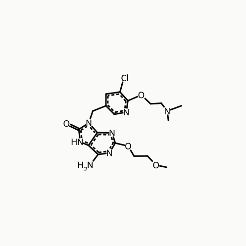 COCCOc1nc(N)c2[nH]c(=O)n(Cc3cnc(OCCN(C)C)c(Cl)c3)c2n1